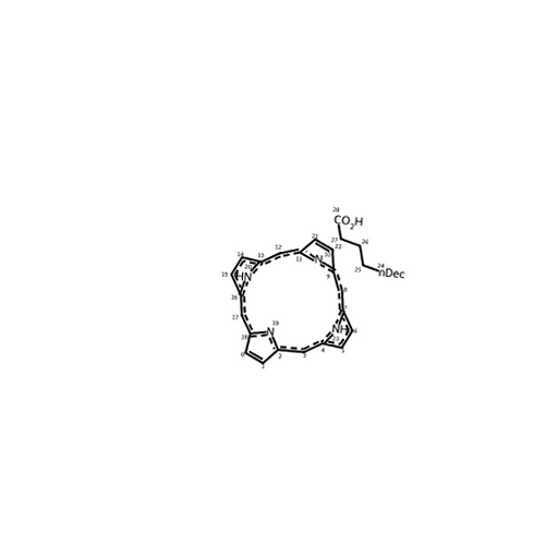 C1=Cc2cc3ccc(cc4nc(cc5ccc(cc1n2)[nH]5)C=C4)[nH]3.CCCCCCCCCCCCCC(=O)O